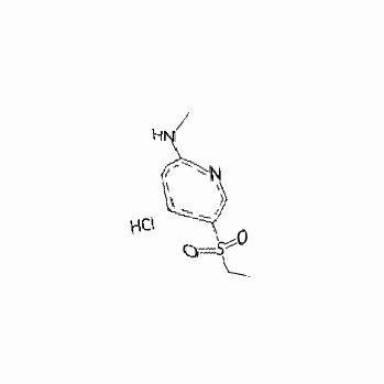 CCS(=O)(=O)c1ccc(NC)nc1.Cl